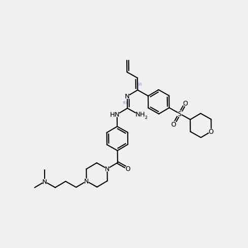 C=C/C=C(\N=C(/N)Nc1ccc(C(=O)N2CCN(CCCN(C)C)CC2)cc1)c1ccc(S(=O)(=O)C2CCOCC2)cc1